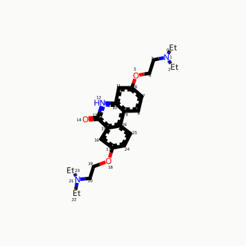 CCN(CC)CCOc1ccc2c(c1)[nH]c(=O)c1cc(OCCN(CC)CC)ccc12